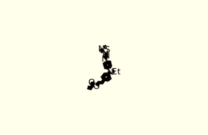 C=CC(=O)OCCc1ccc(N(CC)c2ccc(N=NN3CN=CS3)cc2)cc1